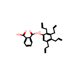 C=CCc1cc(O)c(CC=C)c(CC=C)c1CC=C.O=C(O)c1ccccc1C(=O)O